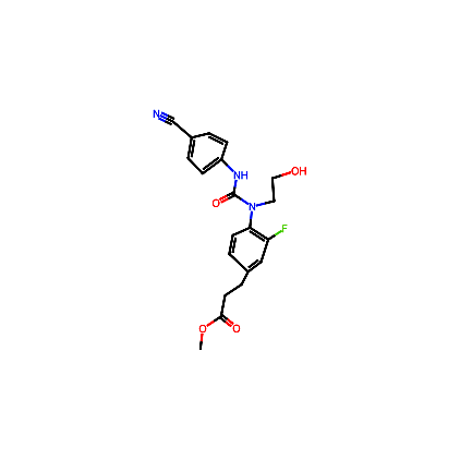 COC(=O)CCc1ccc(N(CCO)C(=O)Nc2ccc(C#N)cc2)c(F)c1